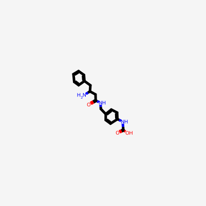 NC(CC(=O)NCc1ccc(NC(=O)O)cc1)Cc1ccccc1